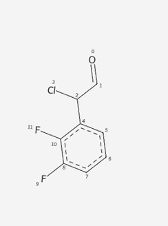 O=CC(Cl)c1cccc(F)c1F